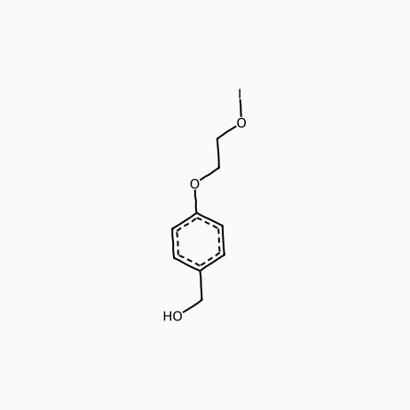 OCc1ccc(OCCOI)cc1